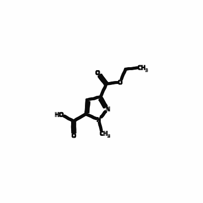 CCOC(=O)c1cc(C(=O)O)n(C)n1